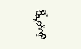 COc1cc(-c2cc(C(=O)N3CCC(C(=O)NCc4c[nH]c5ncccc45)CC3)n[nH]2)c(Cl)cn1